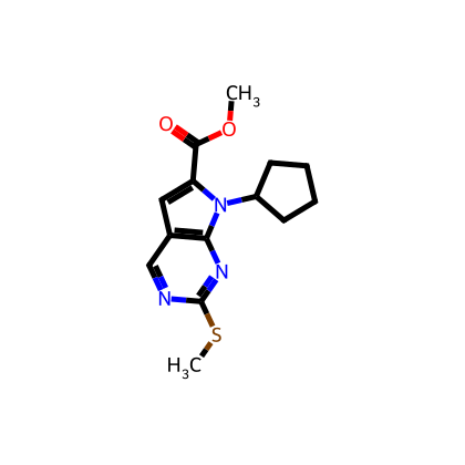 COC(=O)c1cc2cnc(SC)nc2n1C1CCCC1